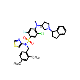 COc1ccc(CN(c2cscn2)S(=O)(=O)c2cc(Cl)c(N(C)[C@H]3CCN(C4CCc5ccccc54)C3)cc2F)c(OC)c1